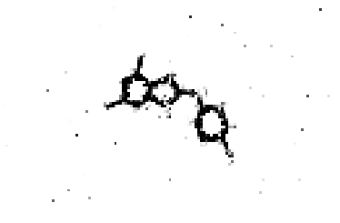 Cc1cc(C)c2nc(Nc3ccc(Br)cc3)sc2c1